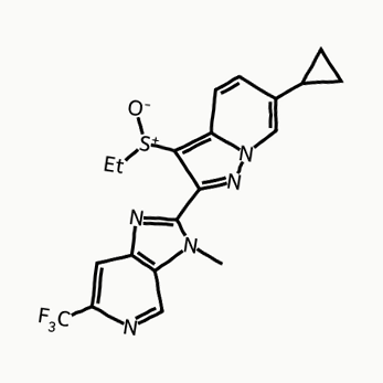 CC[S+]([O-])c1c(-c2nc3cc(C(F)(F)F)ncc3n2C)nn2cc(C3CC3)ccc12